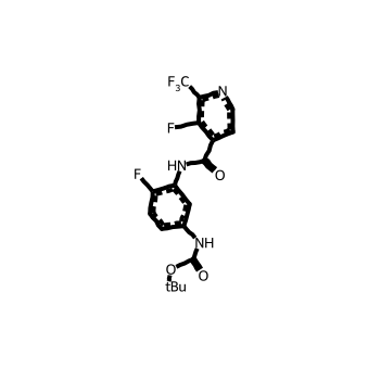 CC(C)(C)OC(=O)Nc1ccc(F)c(NC(=O)c2ccnc(C(F)(F)F)c2F)c1